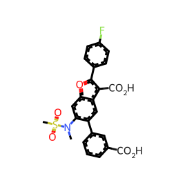 CN(c1cc2oc(-c3ccc(F)cc3)c(C(=O)O)c2cc1-c1cccc(C(=O)O)c1)S(C)(=O)=O